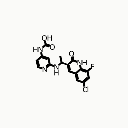 CC(Nc1cc(NC(=O)O)ccn1)c1cc2cc(Cl)cc(F)c2[nH]c1=O